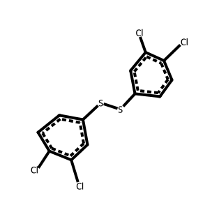 Clc1ccc(SSc2ccc(Cl)c(Cl)c2)cc1Cl